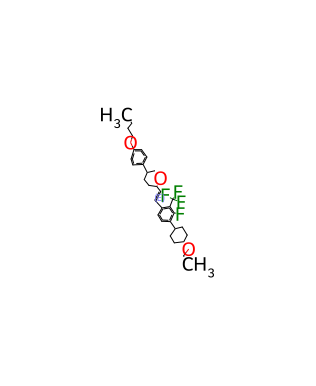 CCCCOc1ccc(C2CCC(/C=C/c3ccc(C4CCC(OCC)CC4)c(F)c3C(F)(F)F)OC2)cc1